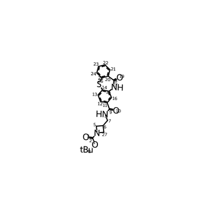 CC(C)(C)OC(=O)N1CC(CNC(=O)c2ccc3c(c2)NC(=O)c2ccccc2S3)C1